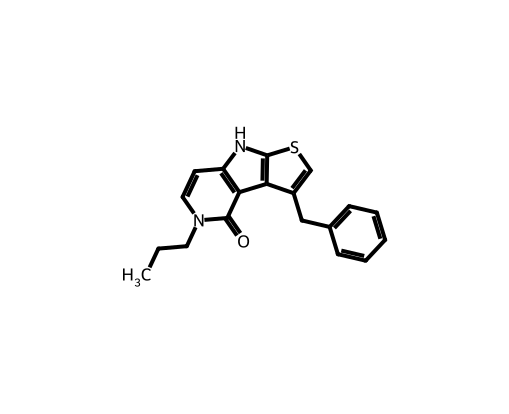 CCCn1ccc2[nH]c3scc(Cc4ccccc4)c3c2c1=O